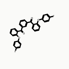 O=C(c1cccc(C(=O)c2ccccc2Oc2ccc(F)cc2)c1)c1ccccc1Oc1ccc(F)cc1